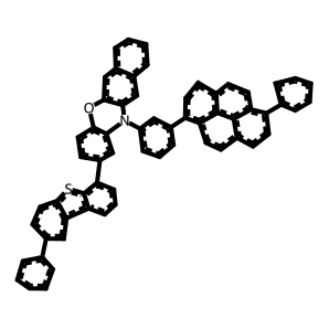 c1ccc(-c2ccc3sc4c(-c5ccc6c(c5)N(c5cccc(-c7ccc8ccc9c(-c%10ccccc%10)ccc%10ccc7c8c%109)c5)c5cc7ccccc7cc5O6)cccc4c3c2)cc1